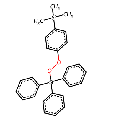 C[Si](C)(C)c1ccc(OO[Si](c2ccccc2)(c2ccccc2)c2ccccc2)cc1